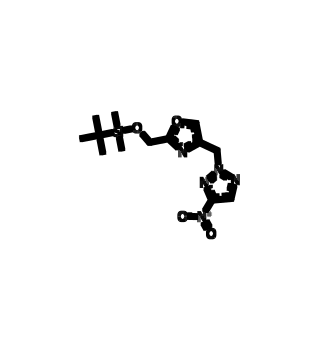 CC(C)(C)[Si](C)(C)OCc1nc(Cn2ncc([N+](=O)[O-])n2)co1